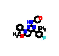 Cc1cc(F)ccc1-c1nc(NC2CCOCC2)nc2c1ccc(=O)n2-c1ccccc1C